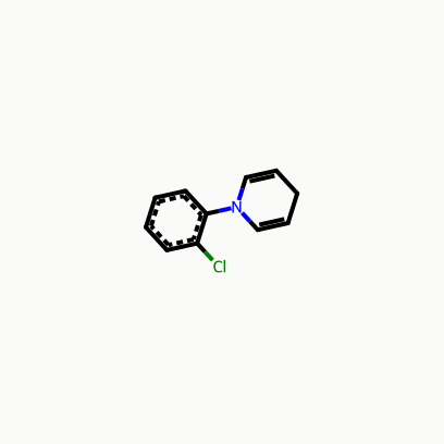 Clc1ccccc1N1C=CCC=C1